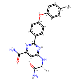 C[C@@H](Nc1cc(C(N)=O)nc(-c2ccc(Oc3ccc(C(C)(C)C)cc3)cc2)n1)C(N)=O